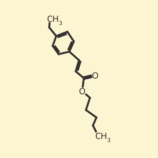 CCCCCOC(=O)C=Cc1ccc(CC)cc1